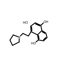 Cl.Oc1ccc(CCN2CCCC2)c2c(O)cccc12